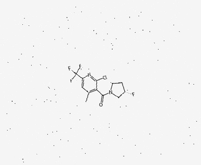 Cc1cc(C(F)(F)F)nc(Cl)c1C(=O)N1CC[C@H](F)C1